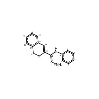 NC=C(Nc1ccccc1)C1=Cc2ccccc2CC1